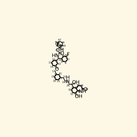 O=C(NC(c1cccc(F)c1)c1cccc(OCc2cccc(CCNC[C@@H](O)c3ccc(O)c4[nH]c(=O)ccc34)c2)c1)O[C@H]1CN2CCC1CC2